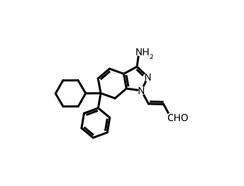 Nc1nn(C=CC=O)c2c1C=CC(c1ccccc1)(C1CCCCC1)C2